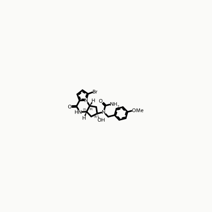 COc1ccc(CN(C(N)=O)[C@@]2(O)C[C@@H]3NC(=O)c4ccc(Br)n4[C@@H]3C2)cc1